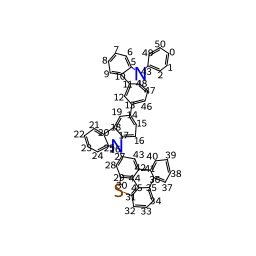 c1ccc(-n2c3ccccc3c3cc(-c4ccc5c(c4)c4ccccc4n5-c4cc5sc6cccc7c8ccccc8c(c4)c5c67)ccc32)cc1